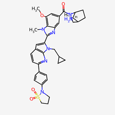 COc1cc(C(=O)N2CC3CCC2[C@@H]3N)cc2nc(-c3cc4ccc(-c5ccc(N6CCCS6(=O)=O)cc5)nc4n3CC3CC3)n(C)c12